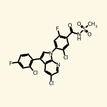 CS(=O)(=O)NC(=O)c1cc(Cl)c(-n2cc(-c3ccc(F)cc3Cl)c3cc(Cl)cnc32)cc1F